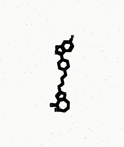 O=C1NCCCc2sc(SCCCN3CCC(c4noc5cc(F)ccc45)CC3)cc21